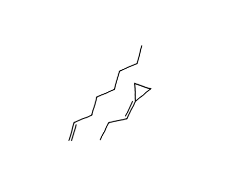 C=CCCCCCC.CCC=C1CC1